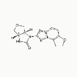 O=C1N[C@@H]2COC[C@@H]2N1c1nc2c3c(ccc2s1)OCC3